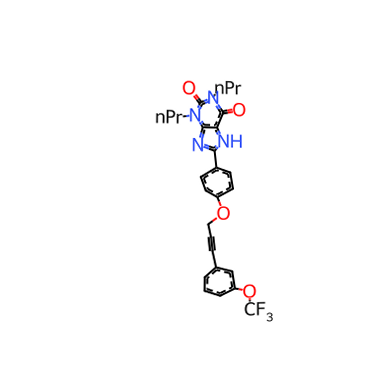 CCCn1c(=O)c2[nH]c(-c3ccc(OCC#Cc4cccc(OC(F)(F)F)c4)cc3)nc2n(CCC)c1=O